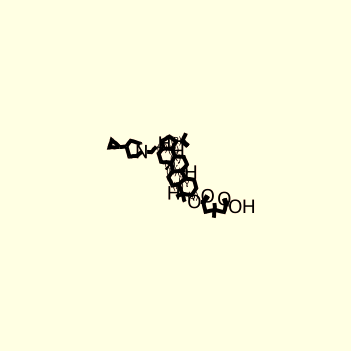 C=C(C)[C@@H]1CC[C@]2(CCN3CCC(C4CC4)CC3)CC[C@]3(C)[C@H](CC[C@@H]4[C@@]5(C)CC[C@H](OC(=O)CC(C)(C)CC(=O)O)C(C)(C)[C@@H]5CC[C@]43C)[C@@H]12